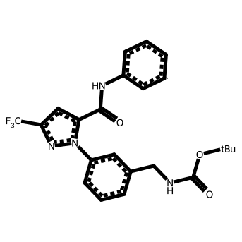 CC(C)(C)OC(=O)NCc1cccc(-n2nc(C(F)(F)F)cc2C(=O)Nc2c[c]ccc2)c1